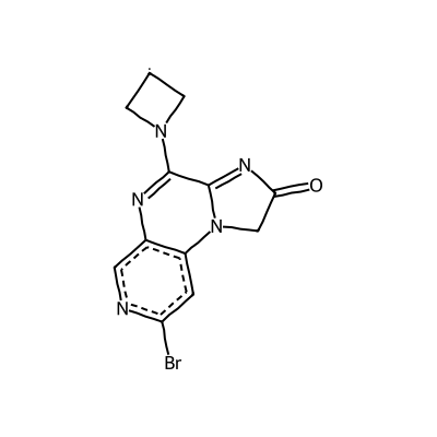 O=C1CN2C(=N1)C(N1C[CH]C1)=Nc1cnc(Br)cc12